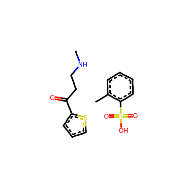 CNCCC(=O)c1cccs1.Cc1ccccc1S(=O)(=O)O